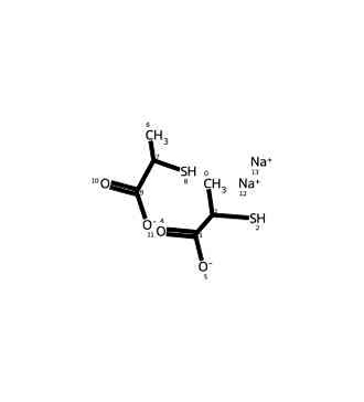 CC(S)C(=O)[O-].CC(S)C(=O)[O-].[Na+].[Na+]